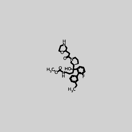 CCc1cccc(-c2c(F)cccc2[C@](O)(CCCNC(=O)OC)[C@@H]2CCCN(C(=O)CC3CNCCO3)C2)c1